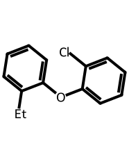 CCc1ccccc1Oc1ccccc1Cl